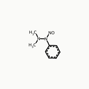 CN(C)N(N=O)c1ccccc1